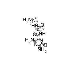 CC(C)(N)CNC(=O)C(C)(C)NC(=O)c1nc(Cl)c(N)nc1N